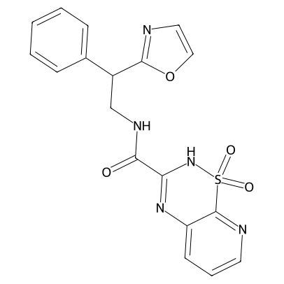 O=C(NCC(c1ccccc1)c1ncco1)C1=Nc2cccnc2S(=O)(=O)N1